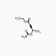 CCOC(=O)C#CC(C)OC(N)=O